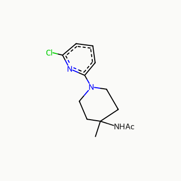 CC(=O)NC1(C)CCN(c2cccc(Cl)n2)CC1